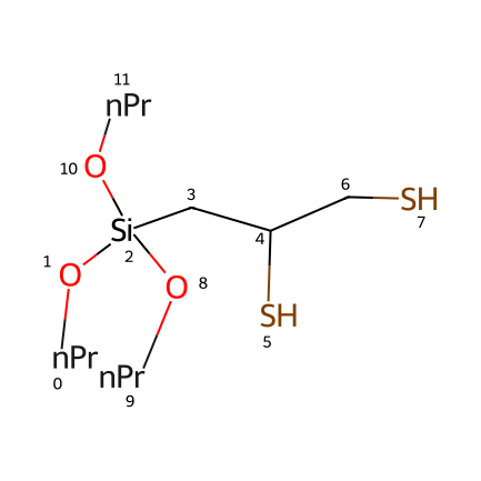 CCCO[Si](CC(S)CS)(OCCC)OCCC